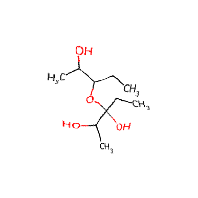 CCC(OC(O)(CC)C(C)O)C(C)O